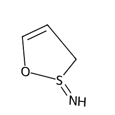 N=S1CC=CO1